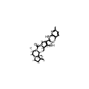 Cc1ccc(F)c(Nc2n[nH]c3c2CN(C(=O)N2C[C@]4(C)C(C)CCN4C[C@@H]2C)C3C)n1